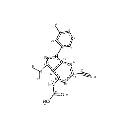 Cc1cccc(-n2nc(C(C)C)c3c(NC(=O)O)cc(C#N)nc32)c1